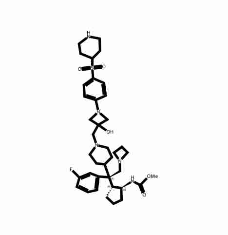 COC(=O)N[C@H]1CCC[C@@H]1[C@](CN1CCC1)(c1cccc(F)c1)C1CCN(CC2(O)CN(c3ccc(S(=O)(=O)C4CCNCC4)cc3)C2)CC1